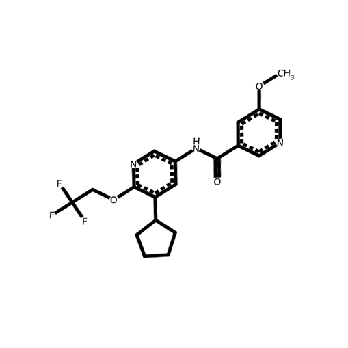 COc1cncc(C(=O)Nc2cnc(OCC(F)(F)F)c(C3CCCC3)c2)c1